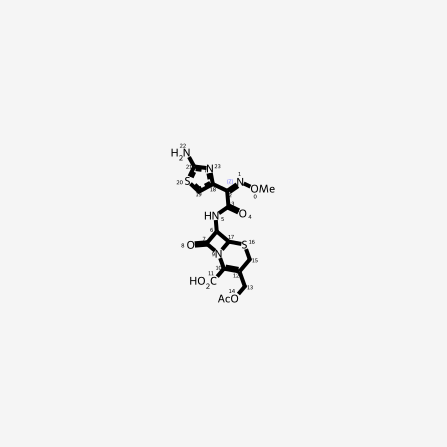 CO/N=C(\C(=O)NC1C(=O)N2C(C(=O)O)=C(COC(C)=O)CSC12)c1csc(N)n1